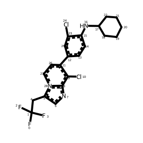 FC(F)(F)Cc1cnc2c(Cl)c(-c3ccc(NC4CCCCC4)c(Cl)c3)ccn12